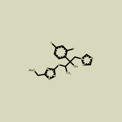 COCc1nsc(SC(C)C(O)(Cn2cncn2)c2ccc(F)cc2F)n1